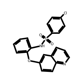 O=S(=O)(Nc1ccccc1Oc1ccc2ncccc2c1)c1ccc(Cl)cc1